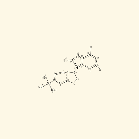 CCC[CH2][Sn]([CH2]CCC)([CH2]CCC)[c]1ccc2c(c1)CCC2n1c(CC)nc2c(C)cc(C)nc21